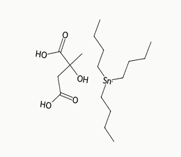 CC(O)(CC(=O)O)C(=O)O.CCC[CH2][Sn]([CH2]CCC)[CH2]CCC